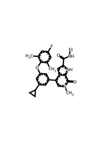 CCNC(=O)c1cc2c(-c3cc(Oc4c(C)cc(F)cc4C)cc(C4CC4)c3)cn(C)c(=O)c2[nH]1